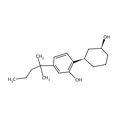 CCCC(C)(C)c1ccc([C@@H]2CCC[C@H](O)C2)c(O)c1